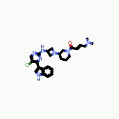 CN(C)C/C=C/C(=O)N1CCCC(N2CC(Nc3ncc(Cl)c(-c4c[nH]c5ccccc45)n3)C2)C1